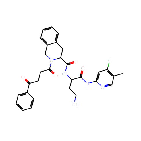 Cc1cnc(NC(=O)C(CCN)NC(=O)C2Cc3ccccc3CN2C(=O)CCC(=O)c2ccccc2)cc1Cl